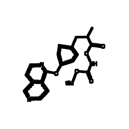 CC(Cc1ccc(Oc2nccc3cnccc23)cc1)C(=O)ONC(=O)OC(C)(C)C